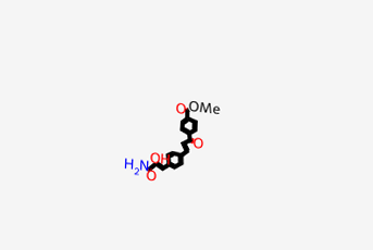 COC(=O)c1ccc(C(=O)C=Cc2ccc(C=C(O)C(N)=O)cc2)cc1